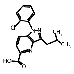 CC(C)Cc1nn(-c2ccccc2Cl)c2ccc(C(=O)O)nc12